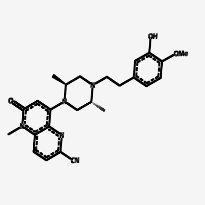 COc1ccc(CCN2C[C@H](C)N(c3cc(=O)n(C)c4ccc(C#N)nc34)C[C@H]2C)cc1O